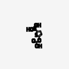 O=C(O)Oc1ccc(B(O)O)s1